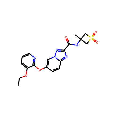 CCOc1cccnc1Oc1ccc2nc(C(=O)NC3(C)CS(=O)(=O)C3)nn2c1